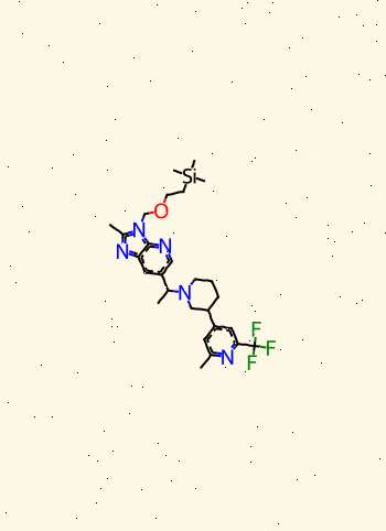 Cc1cc(C2CCCN(C(C)c3cnc4c(c3)nc(C)n4COCC[Si](C)(C)C)C2)cc(C(F)(F)F)n1